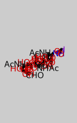 CC(=O)NC1C(CNOC(=O)CI)OC(OC=O)C(OC(CO)C(O)C2OC(OC=O)C(OC(CO)C(O)C3OC(O)(OC=O)CC(O)C3NC(C)=O)C(O)C2NC(C)=O)C1O